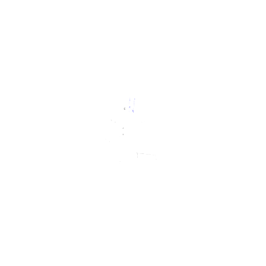 CC1CCC12CNC2